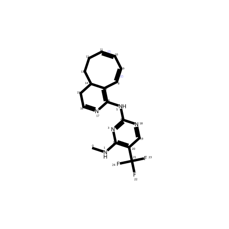 CNc1nc(NC2=C3/C=C\C=C/CCC3CC=N2)ncc1C(F)(F)F